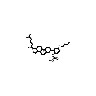 CCCCOc1ccc(OC(=O)O)c(C2CC[C@@]3(C)C(=CCC4C3CC[C@@]3(C)C4CC[C@@H]3[C@H](C)CCCC(C)C)C2)c1